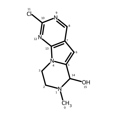 CN1CCn2c(cc3cnc(Cl)nc32)C1O